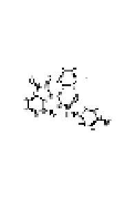 Cc1ccc(CN2C(=O)c3cccc(F)c3C2CCC(=O)Nc2ccc(Br)cn2)cc1